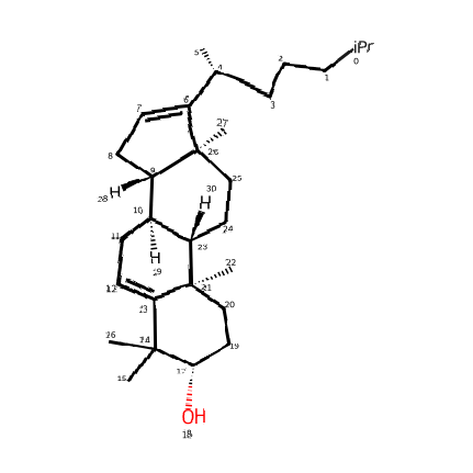 CC(C)CCC[C@@H](C)C1=CC[C@H]2[C@@H]3CC=C4C(C)(C)[C@@H](O)CC[C@]4(C)[C@H]3CC[C@]12C